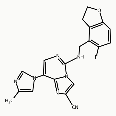 Cc1cn(-c2cnc(NCc3c(F)ccc4c3CCO4)n3cc(C#N)nc23)cn1